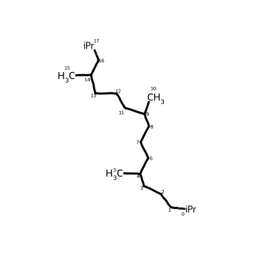 CC(C)CCCC(C)CCCC(C)CCCC(C)CC(C)C